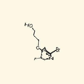 OCCCOc1cc(Br)ncc1F